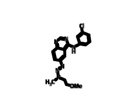 COCCN(C)N=Nc1ccc2ncnc(Nc3cccc(Cl)c3)c2c1